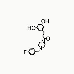 O=C(CCc1cc(O)cc(O)c1)N1CCN(Cc2ccc(F)cc2)CC1